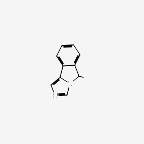 [2H]C1c2ccccc2-c2cncn21